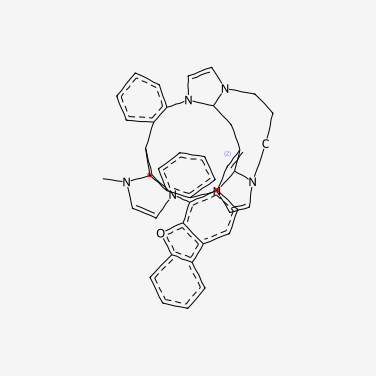 CN1C=CN2c3c(ccc4c3oc3ccccc34)/C=C3/CC4N5C=CN4c4ccccc4C(Cc4ccccc4N4C=CN(CCC5)C34)C12